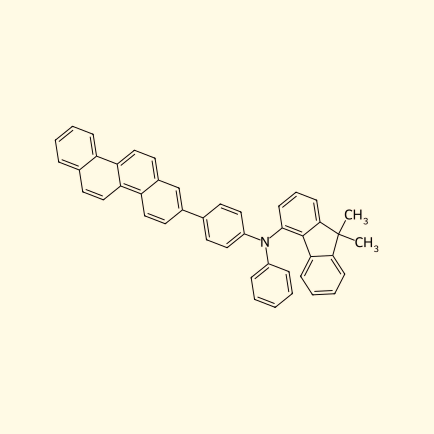 CC1(C)c2ccccc2-c2c(N(c3ccccc3)c3ccc(-c4ccc5c(ccc6c7ccccc7ccc56)c4)cc3)cccc21